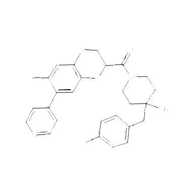 N#CC1(Cc2ccc(F)cc2)CCN(C(=O)C2CNc3cc(Cl)c(-c4ccncc4)cc3O2)CC1